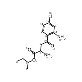 CCC(C)OC(=O)C(N)CC(=O)c1ccc(Cl)cc1N